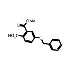 COC(=O)c1cc(OCc2ccccc2)ccc1C(=O)O